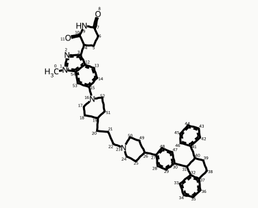 Cn1nc(C2CCC(=O)NC2=O)c2ccc(N3CCC(CCCN4CCC(c5ccc(C6c7ccccc7CCC6c6ccccc6)cc5)CC4)CC3)cc21